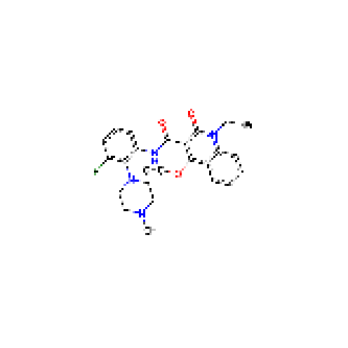 CC(C)Cn1c(=O)c(C(=O)Nc2cccc(F)c2N2CCN(C)CC2)c(OC=O)c2ccccc21